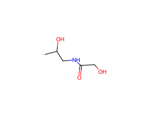 [CH2]C(O)CNC(=O)CO